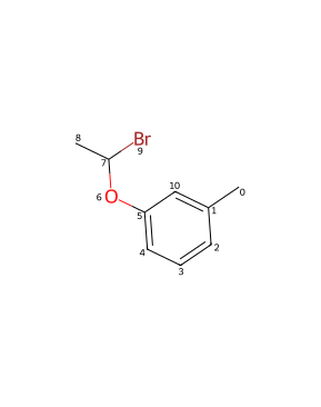 Cc1cccc(OC(C)Br)c1